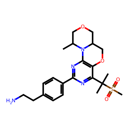 CC1COCC2COc3c(nc(-c4ccc(CCN)cc4)nc3C(C)(C)S(C)(=O)=O)N12